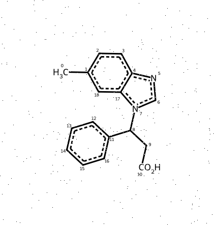 Cc1ccc2ncn(C(CC(=O)O)c3ccccc3)c2c1